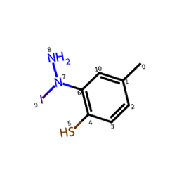 Cc1ccc(S)c(N(N)I)c1